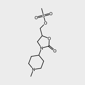 CN1CCC(N2CC(COS(C)(=O)=O)OC2=O)CC1